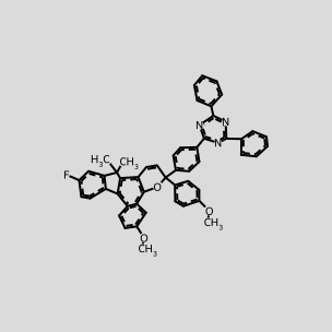 COc1ccc(C2(c3ccc(-c4nc(-c5ccccc5)nc(-c5ccccc5)n4)cc3)C=Cc3c4c(c5ccc(OC)cc5c3O2)-c2ccc(F)cc2C4(C)C)cc1